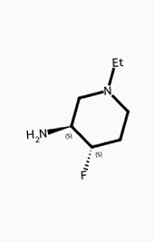 CCN1CC[C@H](F)[C@@H](N)C1